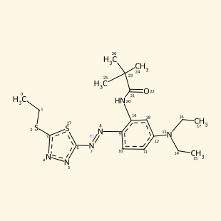 CCSc1nnc(/N=N/c2ccc(N(CC)CC)cc2NC(=O)C(C)(C)C)s1